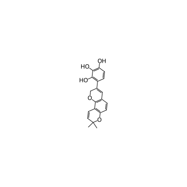 CC1(C)C=Cc2c(ccc3c2OCC(c2ccc(O)c(O)c2O)=C3)O1